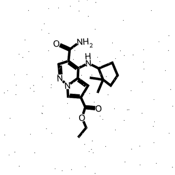 CCOC(=O)c1cc2c(NC3CCCC3(C)C)c(C(N)=O)cnn2c1